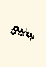 Cc1c(Nc2ccc(C(F)(F)F)cn2)ncnc1-c1cccc2ncccc12